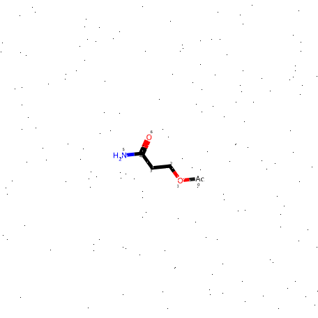 CC(=O)OCCC(N)=O